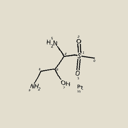 CS(=O)(=O)C(N)C(O)CN.[Pt]